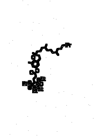 CCOP(=O)(OCC)C(CCC(=O)Oc1cc(C)c2c(c1)CCC(C)(CCCC(C)CCCC(C)CCCC(C)C)O2)P(=O)(OCC)OCC